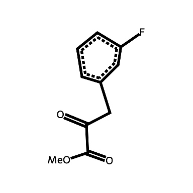 COC(=O)C(=O)Cc1cccc(F)c1